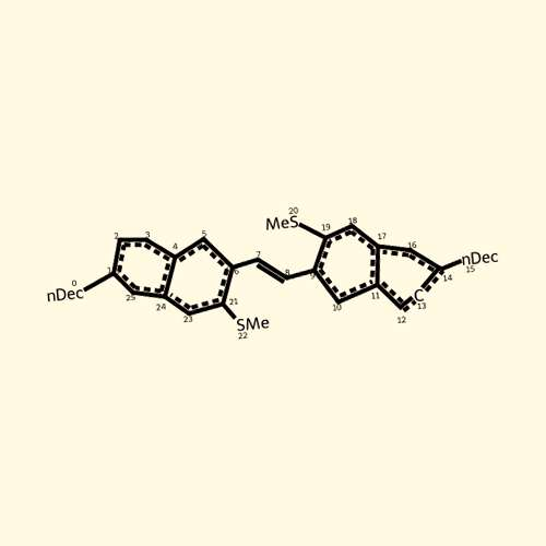 CCCCCCCCCCc1ccc2cc(/C=C/c3cc4ccc(CCCCCCCCCC)cc4cc3SC)c(SC)cc2c1